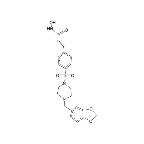 O=C(/C=C/c1ccc(S(=O)(=O)N2CCN(Cc3ccc4c(c3)OCO4)CC2)cc1)NO